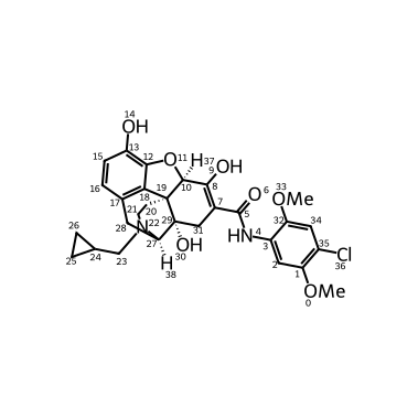 COc1cc(NC(=O)C2=C(O)[C@@H]3Oc4c(O)ccc5c4[C@@]34CCN(CC3CC3)[C@H](C5)[C@]4(O)C2)c(OC)cc1Cl